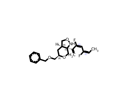 C=C(/C(F)=C\C(F)=C/C)[C@]12CO[C@@H](COCc3ccccc3)C[C@H]1CON2